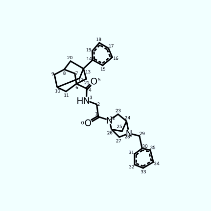 O=C(CNC(=O)C12CC3CC(C1)CC(c1ccccc1)(C3)C2)N1CC2CC1CN2Cc1ccccc1